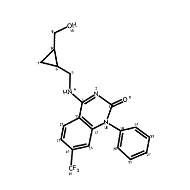 O=c1nc(NCC2CC2CO)c2ccc(C(F)(F)F)cc2n1-c1ccccc1